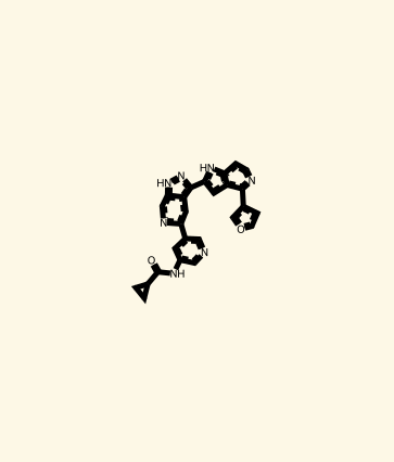 O=C(Nc1cncc(-c2cc3c(-c4cc5c(-c6ccoc6)nccc5[nH]4)n[nH]c3cn2)c1)C1CC1